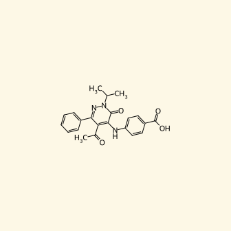 CC(=O)c1c(-c2ccccc2)nn(C(C)C)c(=O)c1Nc1ccc(C(=O)O)cc1